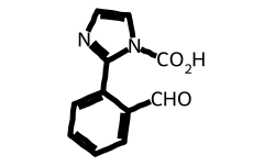 O=Cc1ccccc1-c1nccn1C(=O)O